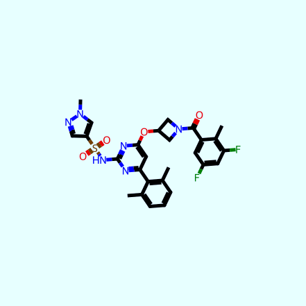 Cc1cccc(C)c1-c1cc(OC2CN(C(=O)c3cc(F)cc(F)c3C)C2)nc(NS(=O)(=O)c2cnn(C)c2)n1